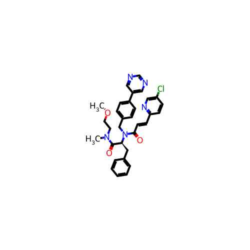 COCCN(C)C(=O)[C@H](Cc1ccccc1)N(Cc1ccc(-c2cncnc2)cc1)C(=O)C=Cc1ccc(Cl)cn1